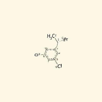 CC(C)[C@@H](C)c1cc(Cl)cc(Cl)c1